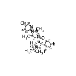 C[C@@H]1CN(C(=O)C2CN(C(C)(C)C)CC2c2ccc(F)cc2F)C[C@H](C)N1c1ccc(Cl)cn1